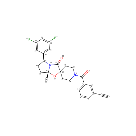 C#Cc1cccc(C(=O)N2CCC3(CC2)O[C@@H]2CC[C@@H](c4cc(F)cc(F)c4)N2C3=O)c1